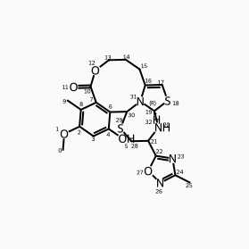 COc1cc(O)c2c(c1C)C(=O)OCCCC1=CS[C@@H]3NC(c4nc(C)no4)CSC2N13